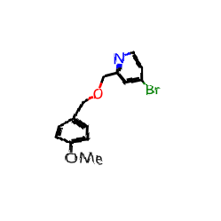 COc1ccc(COCc2cc(Br)ccn2)cc1